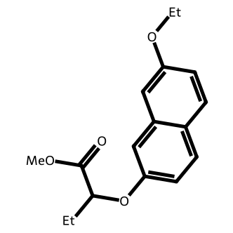 CCOc1ccc2ccc(OC(CC)C(=O)OC)cc2c1